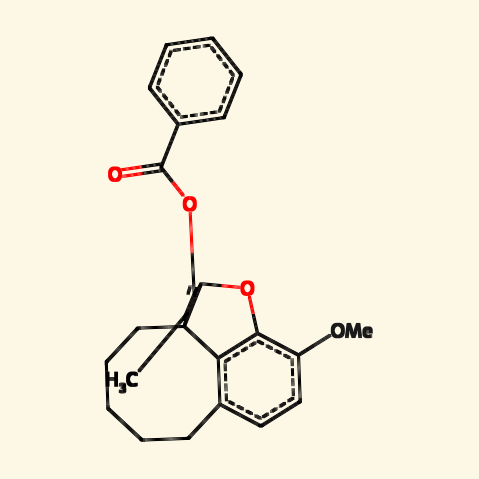 COc1ccc2c3c1OC1C(OC(=O)c4ccccc4)=CCC(C)C31CCCCC2